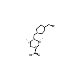 C[C@@H]1CN(C(=O)O)C[C@H](C)N1CC1CCC(CBr)CC1